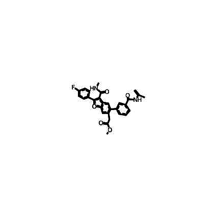 C=C(C)NC(=O)c1cccc(-c2cc3c(C(=O)NC)c(-c4ccc(F)cc4)oc3cc2CC(=O)OC)c1